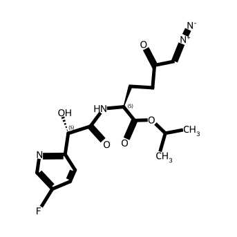 CC(C)OC(=O)[C@H](CCC(=O)C=[N+]=[N-])NC(=O)[C@@H](O)c1ccc(F)cn1